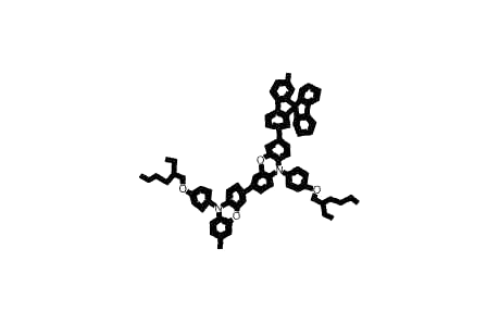 CCCCC(CC)COc1ccc(N2c3ccc(C)cc3Oc3cc(-c4ccc5c(c4)Oc4cc(-c6ccc7c(c6)C6(c8ccccc8-c8ccccc86)c6cc(C)ccc6-7)ccc4N5c4ccc(OCC(CC)CCCC)cc4)ccc32)cc1